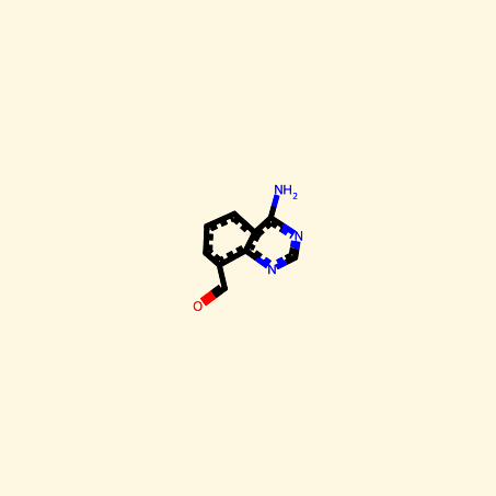 Nc1ncnc2c(C=O)cccc12